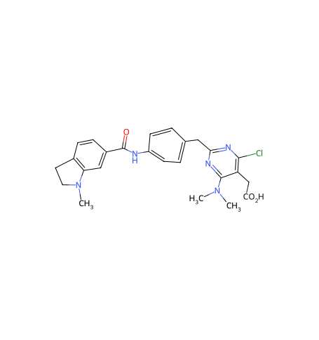 CN(C)c1nc(Cc2ccc(NC(=O)c3ccc4c(c3)N(C)CC4)cc2)nc(Cl)c1CC(=O)O